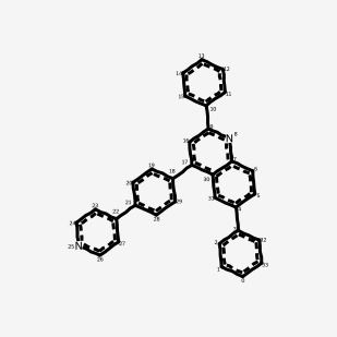 c1ccc(-c2ccc3nc(-c4ccccc4)cc(-c4ccc(-c5ccncc5)cc4)c3c2)cc1